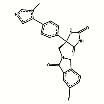 Cn1cncc1-c1ccc([C@]2(CN3Cc4ccc(F)cc4C3=O)NC(=O)NC2=O)cc1